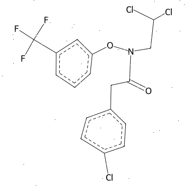 O=C(Cc1ccc(Cl)cc1)N(CC(Cl)Cl)Oc1cccc(C(F)(F)F)c1